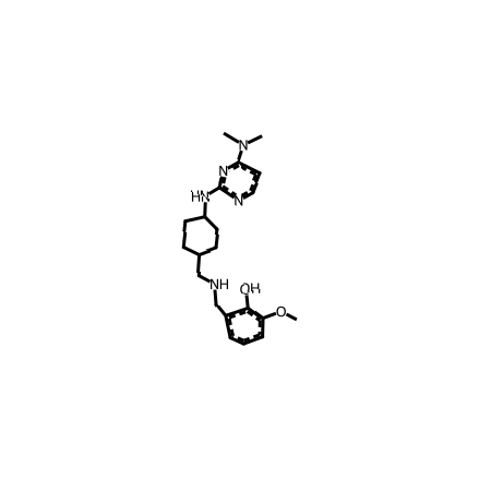 COc1cccc(CNCC2CCC(Nc3nccc(N(C)C)n3)CC2)c1O